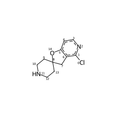 Clc1nccc2c1CC1(CCNCC1)O2